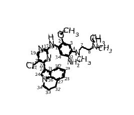 COc1cc(N(C)CCN(C)C)c(N)cc1Nc1ncc(Cl)c(-c2cn3c4c(cccc24)CCC3)n1